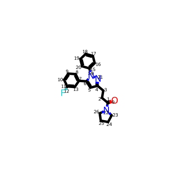 O=C(CCc1cc(-c2cccc(F)c2)n(-c2ccccc2)n1)N1CCCC1